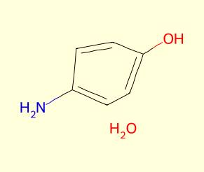 Nc1ccc(O)cc1.O